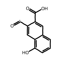 O=Ic1cc2c(O)cccc2cc1C(=O)O